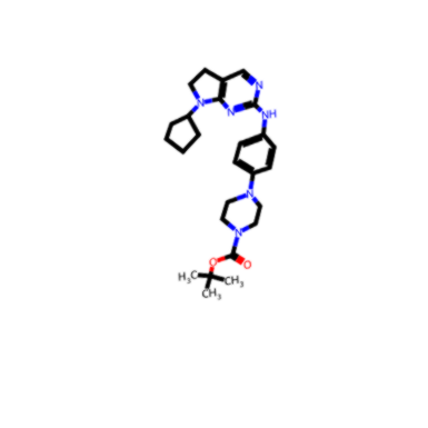 CC(C)(C)OC(=O)N1CCN(c2ccc(Nc3ncc4c(n3)N(C3CCCC3)CC4)cc2)CC1